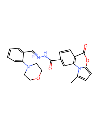 Cc1ccc2oc(=O)c3ccc(C(=O)N/N=C/c4ccccc4N4CCOCC4)cc3n12